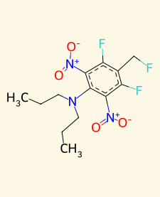 CCCN(CCC)c1c([N+](=O)[O-])c(F)c(CF)c(F)c1[N+](=O)[O-]